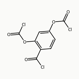 O=C(Cl)Oc1ccc(C(=O)Cl)c(OC(=O)Cl)c1